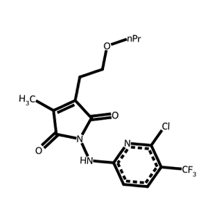 CCCOCCC1=C(C)C(=O)N(Nc2ccc(C(F)(F)F)c(Cl)n2)C1=O